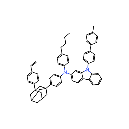 C=Cc1ccc(C23CC4CC(C2)CC(c2ccc(N(c5ccc(CCCC)cc5)c5ccc6c7ccccc7n(-c7ccc(-c8ccc(C)cc8)cc7)c6c5)cc2)(C4)C3)cc1